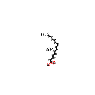 CCCCCC/C=C\CCCCCCCC(=O)[O-].[Na+]